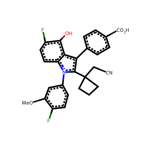 COc1cc(-n2c(C3(CC#N)CCC3)c(-c3ccc(C(=O)O)cc3)c3c(O)c(F)ccc32)ccc1F